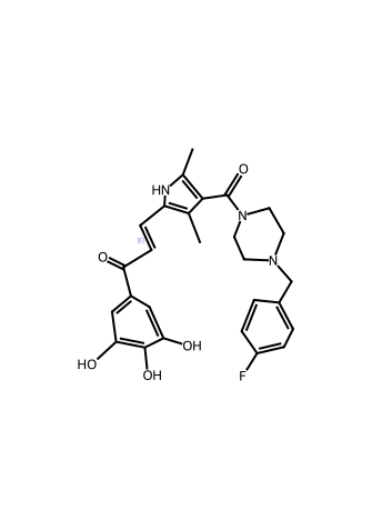 Cc1[nH]c(/C=C/C(=O)c2cc(O)c(O)c(O)c2)c(C)c1C(=O)N1CCN(Cc2ccc(F)cc2)CC1